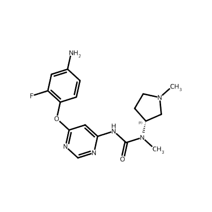 CN1CC[C@@H](N(C)C(=O)Nc2cc(Oc3ccc(N)cc3F)ncn2)C1